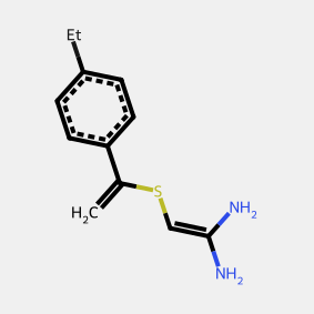 C=C(SC=C(N)N)c1ccc(CC)cc1